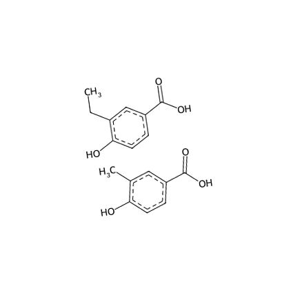 CCc1cc(C(=O)O)ccc1O.Cc1cc(C(=O)O)ccc1O